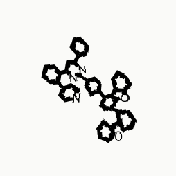 c1ccc(-c2cc(-c3ccccc3-c3ccncc3)nc(-c3ccc(-c4ccc(-c5cccc6oc7ccccc7c56)c5oc6ccccc6c45)cc3)n2)cc1